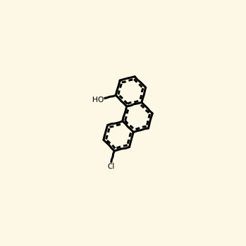 Oc1cccc2ccc3cc(Cl)ccc3c12